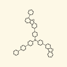 c1ccc(-c2ccc(-c3ccc(N(c4ccc(-c5ccc6oc7c(-c8ccccc8)cccc7c6c5)cc4)c4ccc(-c5ccc6sc7ccccc7c6c5)cc4)cc3)cc2)cc1